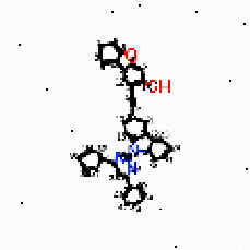 Oc1cc2oc3ccccc3c2cc1C#Cc1ccc2c(c1)c1ccccc1n2-c1nc(-c2ccccc2)cc(-c2ccccc2)n1